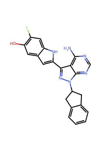 Nc1ncnc2c1c(-c1cc3cc(O)c(F)cc3[nH]1)nn2C1Cc2ccccc2C1